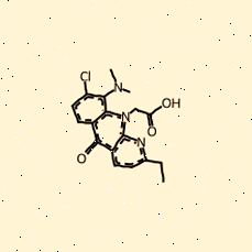 CCc1ccc2c(=O)c3ccc(Cl)c(N(C)C)c3n(CC(=O)O)c2n1